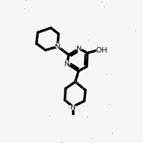 CN1CCC(c2cc(O)nc(N3CCCCC3)n2)CC1